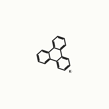 [K].c1ccc2c(c1)c1ccccc1c1ccccc21